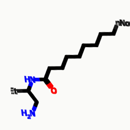 CCCCCCCCCCCCCCCCCC(=O)NC(CC)CN